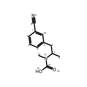 CC(Cc1cccc(C#N)c1)N(C)C(=O)O